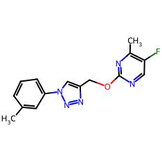 Cc1cccc(-n2cc(COc3ncc(F)c(C)n3)nn2)c1